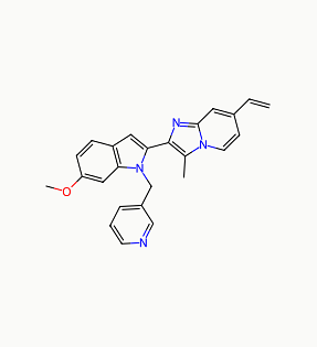 C=Cc1ccn2c(C)c(-c3cc4ccc(OC)cc4n3Cc3cccnc3)nc2c1